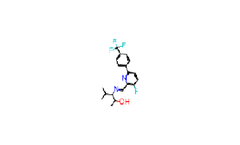 CC(C)[C@@H](N=Cc1nc(-c2ccc(C(F)(F)F)cc2)ccc1F)C(C)O